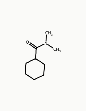 CN(C)C(=O)[C]1CCCCC1